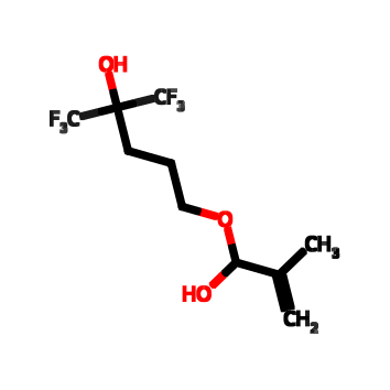 C=C(C)C(O)OCCCC(O)(C(F)(F)F)C(F)(F)F